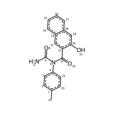 Cc1ccc(N(C(N)=O)C(=O)c2cc3ccccc3cc2O)cc1